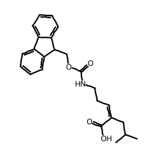 CC(C)CC(=CCCNC(=O)OCC1c2ccccc2-c2ccccc21)C(=O)O